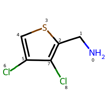 NCc1scc(Cl)c1Cl